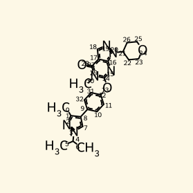 Cc1nn(C(C)C)cc1-c1ccc(Oc2nc3c(cnn3C3CCOCC3)c(=O)n2C)cc1